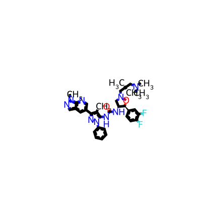 Cc1c(-c2cnc3c(cnn3C)c2)nn(-c2ccccc2)c1NC(=O)N[C@@H]1CN(CC(C)(C)CN(C)C)O[C@H]1c1ccc(F)c(F)c1